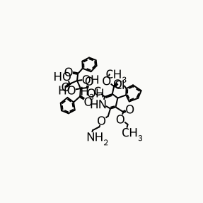 CCOC(=O)C1=C(COCCN)NC(C)=C(C(=O)OC)C1c1ccccc1Cl.O=C(O)C(O)(C(=O)c1ccccc1)C(O)(C(=O)O)C(=O)c1ccccc1